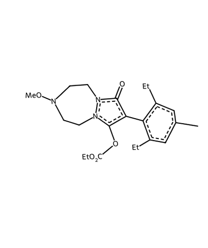 CCOC(=O)Oc1c(-c2c(CC)cc(C)cc2CC)c(=O)n2n1CCN(OC)CC2